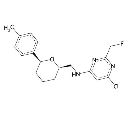 Cc1ccc([C@@H]2CCC[C@H](CNc3cc(Cl)nc(CF)n3)O2)cc1